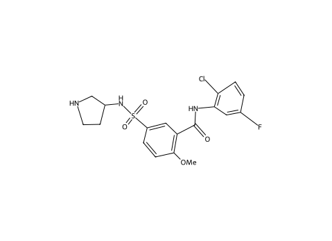 COc1ccc(S(=O)(=O)NC2CCNC2)cc1C(=O)Nc1cc(F)ccc1Cl